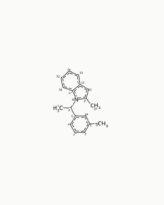 Cc1cccc(C(C)n2c(C)cc3ccccc32)c1